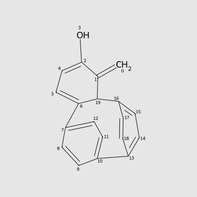 C=C1C(O)=CC=C2c3ccc(cc3)-c3ccc(cc3)C12